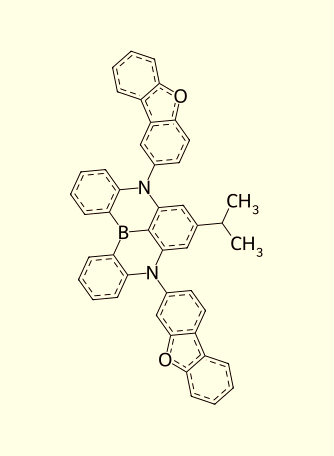 CC(C)c1cc2c3c(c1)N(c1ccc4oc5ccccc5c4c1)c1ccccc1B3c1ccccc1N2c1ccc2c(c1)oc1ccccc12